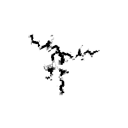 CCCNC(=O)OCC(COC(=O)NC)(COC(=O)NCCC)COC(=O)NCCC